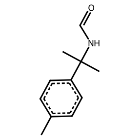 Cc1ccc(C(C)(C)NC=O)cc1